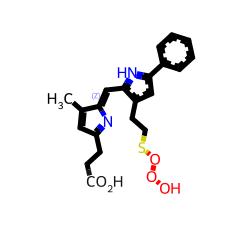 CC1=CC(CCC(=O)O)=N/C1=C\c1[nH]c(-c2ccccc2)cc1CCSOOO